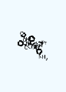 CC(C)CN(C[C@@H](O)[C@@](C)(NC(=O)c1ccccc1O[C@H]1CCOC1)c1ccccc1)S(=O)(=O)c1ccc(N)cc1